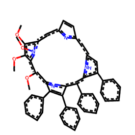 COc1c(OC)c2c(OC)c3nc(c(-c4ccccc4)c4[nH]c(cc5nc(cc1n2OC)C=C5)cc4-c1ccccc1)C(c1ccccc1)=C3c1ccccc1